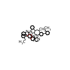 C=C1CC2c3ccccc3N3c4nc5ccccc5nc4N(c4ccccc4)C3C2C2N(c3ccc(-c4ccccc4CC)cc3)c3nccnc3N2c2ccc(-c3ccccc3CC)cc21